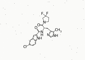 Cc1[nH]cnc1C[C@@H](NC(=O)c1cc2cc(Cl)ccc2[nH]1)C(=O)N1CCC(F)(F)C1